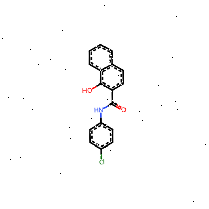 O=C(Nc1ccc(Cl)cc1)c1ccc2ccccc2c1O